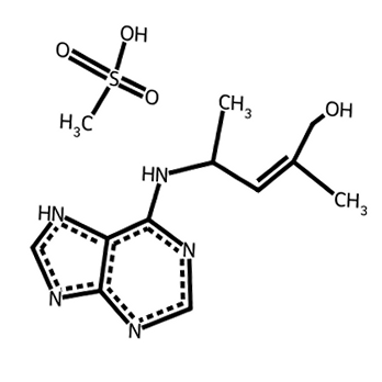 C/C(=C/C(C)Nc1ncnc2nc[nH]c12)CO.CS(=O)(=O)O